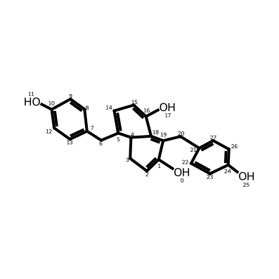 OC1=CCC2C(Cc3ccc(O)cc3)=CC=C(O)C2=C1Cc1ccc(O)cc1